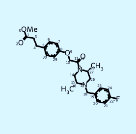 COC(=O)CCc1ccc(OCC(=O)N2C[C@@H](C)N(Cc3ccc(F)cc3)C[C@@H]2C)cc1